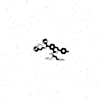 CSCC[C@H](NC(=O)c1cc(C(OCCc2cncn2C)c2nccs2)ccc1CCc1ccc(F)cc1)C(=O)O